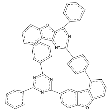 c1ccc(-c2nc(-c3ccccc3)nc(-c3ccc4oc5cccc(-c6ccc(-c7nc(-c8ccccc8)c8oc9ccccc9c8n7)cc6)c5c4c3)n2)cc1